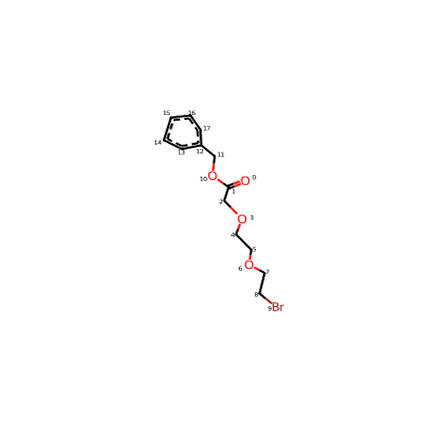 O=C(COCCOCCBr)OCc1ccccc1